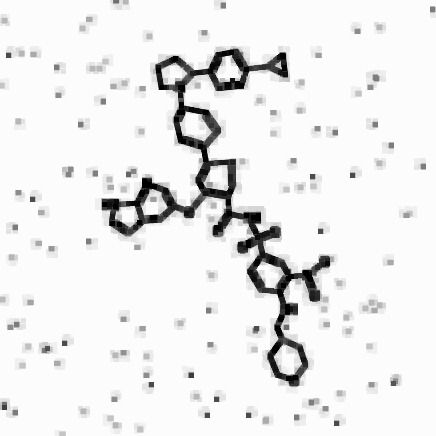 O=C(NS(=O)(=O)c1ccc(NCC2CCOCC2)c([N+](=O)[O-])c1)c1ccc(-c2ccc(N3CCCC3c3ccc(C4CC4)cc3)cc2)cc1Oc1cnc2[nH]ccc2c1